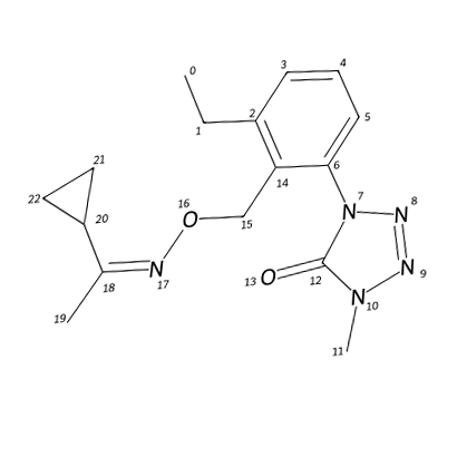 CCc1cccc(-n2nnn(C)c2=O)c1CON=C(C)C1CC1